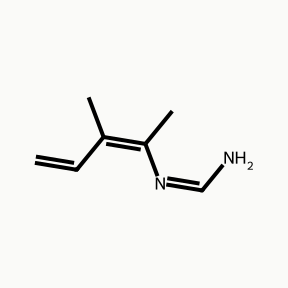 C=C/C(C)=C(C)\N=C/N